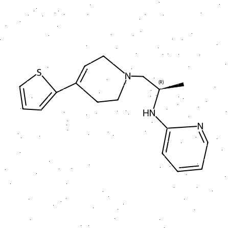 C[C@H](CN1CC=C(c2cccs2)CC1)Nc1ccccn1